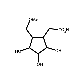 COCC1C(O)C(O)C(O)C1CC(=O)O